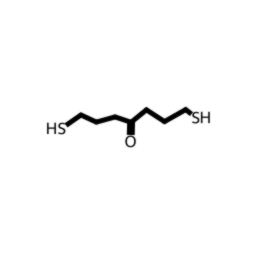 O=C(CCCS)CCCS